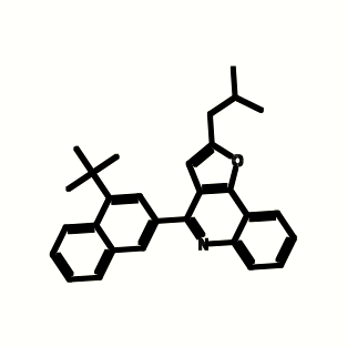 CC(C)Cc1cc2c(-c3cc(C(C)(C)C)c4ccccc4c3)nc3ccccc3c2o1